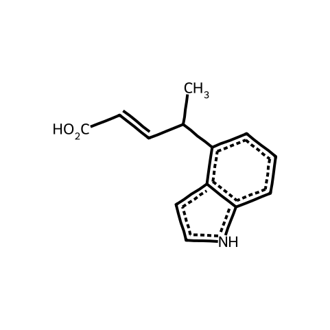 CC(/C=C/C(=O)O)c1cccc2[nH]ccc12